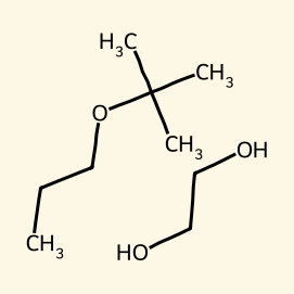 CCCOC(C)(C)C.OCCO